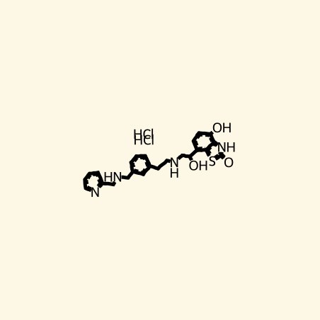 Cl.Cl.O=c1[nH]c2c(O)ccc(C(O)CNCCc3cccc(CNCc4ccccn4)c3)c2s1